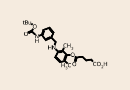 Cc1ccc(NCc2cccc(NC(=O)OC(C)(C)C)c2)c(C)c1OC(=O)CCCC(=O)O